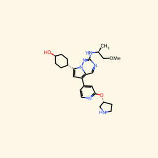 COC[C@H](C)Nc1ncc2c(-c3ccnc(O[C@@H]4CCNC4)c3)cc([C@H]3CC[C@H](O)CC3)n2n1